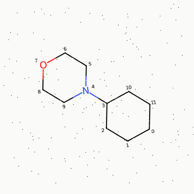 C1CCC(N2CCOCC2)CC1